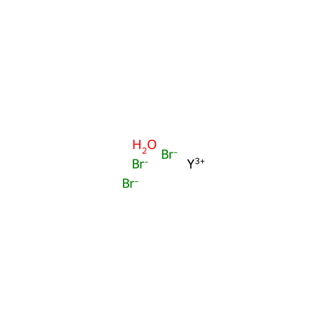 O.[Br-].[Br-].[Br-].[Y+3]